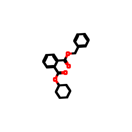 O=C(OCc1ccccc1)c1ccccc1C(=O)OC1CCCCC1